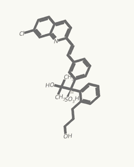 CC(C)(O)[C@](c1cccc(C=Cc2ccc3ccc(Cl)cc3n2)c1)(c1ccccc1CCCO)S(=O)(=O)O